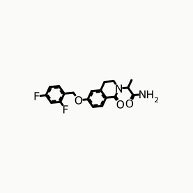 CC(C(N)=O)N1CCc2cc(OCc3ccc(F)cc3F)ccc2C1=O